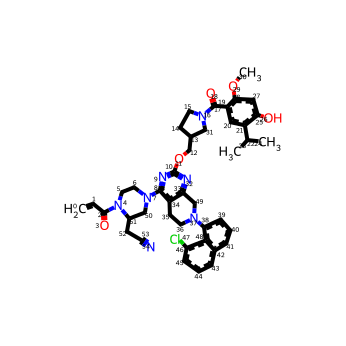 C=CC(=O)N1CCN(c2nc(OCC3CCN(C(=O)c4cc(C(C)C)c(O)cc4OC)C3)nc3c2CCN(c2cccc4cccc(Cl)c24)C3)CC1CC#N